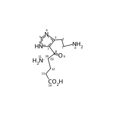 NCCc1nc[nH]c1C(=O)[C@@H](N)CCC(=O)O